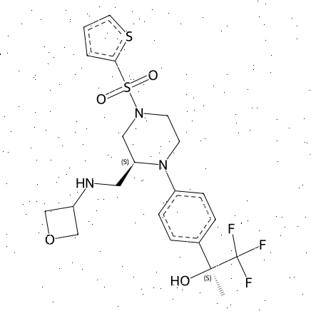 C[C@](O)(c1ccc(N2CCN(S(=O)(=O)c3cccs3)C[C@@H]2CNC2COC2)cc1)C(F)(F)F